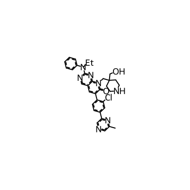 CCN(c1ccccc1)c1ncc2cc(-c3ccc(-c4cncc(C)n4)cc3Cl)c(=O)n(CC3(CO)CCNCC3)c2n1